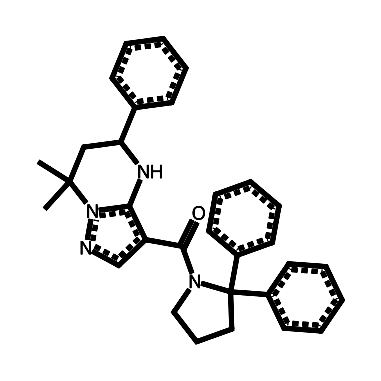 CC1(C)CC(c2ccccc2)Nc2c(C(=O)N3CCCC3(c3ccccc3)c3ccccc3)cnn21